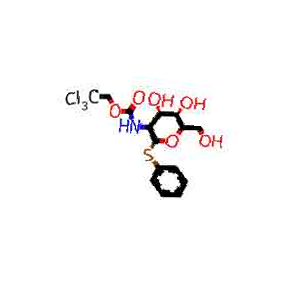 O=C(NC1[C@@H](O)[C@@H](O)C(CO)O[C@H]1Sc1ccccc1)OCC(Cl)(Cl)Cl